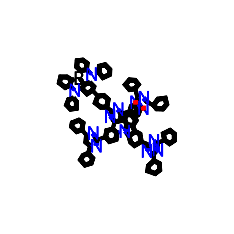 c1ccc(-c2cc(-c3ccccc3)nc(-c3ccc(-n4c5ccc(-c6nc(-c7ccccc7)nc(-c7ccccc7)n6)cc5c5cc(-c6nc(-c7ccccc7)nc(-c7ccccc7)n6)ccc54)c(-c4cc(-c5ccccc5)nc(-c5ccc(-c6cc7c8c(c6)N(c6ccccc6)c6ccccc6B8c6ccccc6N7c6ccccc6)cc5)n4)c3)n2)cc1